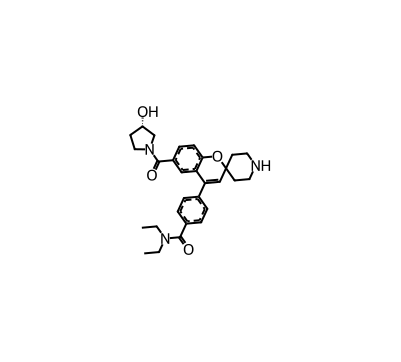 CCN(CC)C(=O)c1ccc(C2=CC3(CCNCC3)Oc3ccc(C(=O)N4CC[C@H](O)C4)cc32)cc1